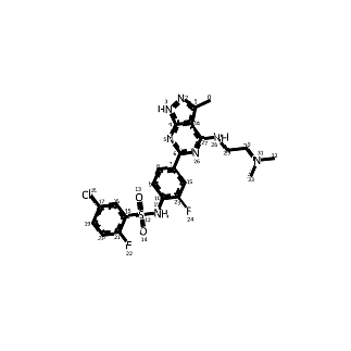 Cc1n[nH]c2nc(-c3ccc(NS(=O)(=O)c4cc(Cl)ccc4F)c(F)c3)nc(NCCN(C)C)c12